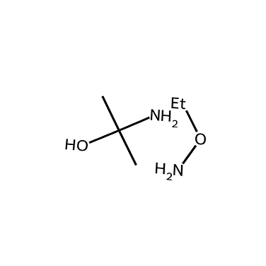 CC(C)(N)O.CCON